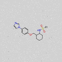 CCS(=O)(=O)NC1CCCCC1COc1ccc(-n2ccnc2)cc1